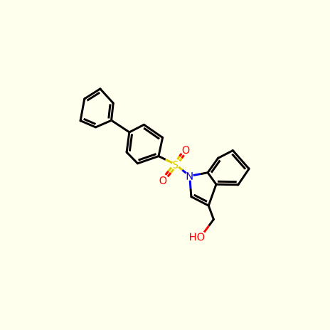 O=S(=O)(c1ccc(-c2ccccc2)cc1)n1cc(CO)c2ccccc21